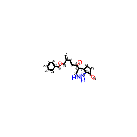 CC(CCC(=O)C1CNNC2C(=O)CCC12)COCc1ccccc1